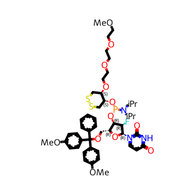 COCCOCCOCCO[C@@H]1CSSC[C@H]1OP(O[C@H]1[C@@H](F)[C@H](n2ccc(=O)[nH]c2=O)O[C@@H]1COC(c1ccccc1)(c1ccc(OC)cc1)c1ccc(OC)cc1)N(C(C)C)C(C)C